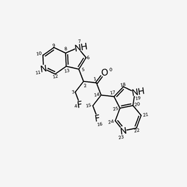 O=C(C(CF)c1c[nH]c2ccncc12)C(CF)c1c[nH]c2ccncc12